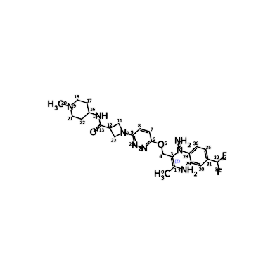 C/C(N)=C(\COc1ccc(N2CC(C(=O)NC3CCN(C)CC3)C2)nn1)N(N)c1ccc(C(F)F)cc1